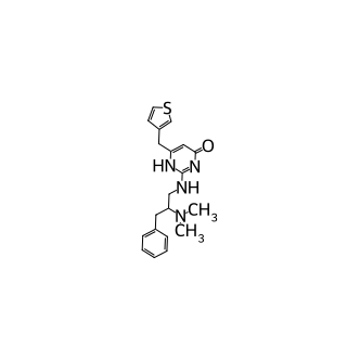 CN(C)C(CNc1nc(=O)cc(Cc2ccsc2)[nH]1)Cc1ccccc1